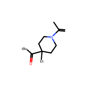 C=C(C)N1CCC(CC)(C(=O)C(C)(C)C)CC1